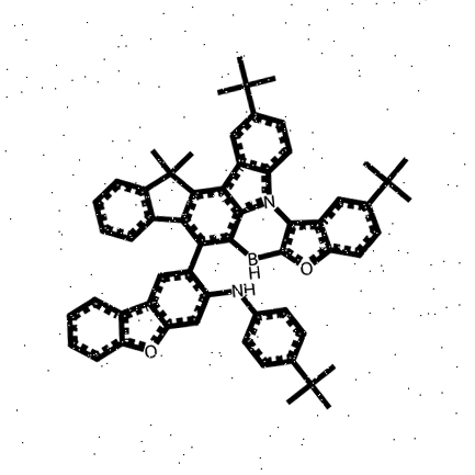 CC(C)(C)c1ccc(Nc2cc3oc4ccccc4c3cc2-c2c3c(c4c5cc(C(C)(C)C)ccc5n5c4c2Bc2oc4ccc(C(C)(C)C)cc4c2-5)C(C)(C)c2ccccc2-3)cc1